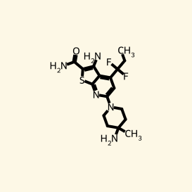 CCC(F)(F)c1cc(N2CCC(C)(N)CC2)nc2sc(C(N)=O)c(N)c12